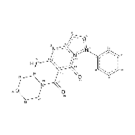 Cc1nc2ccn(-c3ccccc3)n2c(=O)c1C(=O)N1CCOCC1